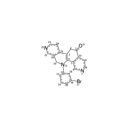 O=C1CC2=C(c3cnccc31)N(c1cccc(Br)c1)Cc1cnccc12